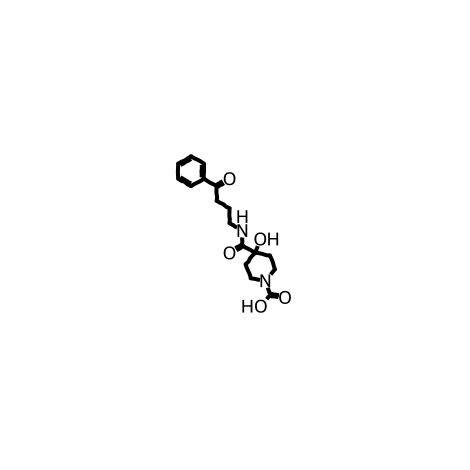 O=C(CCCNC(=O)C1(O)CCN(C(=O)O)CC1)c1ccccc1